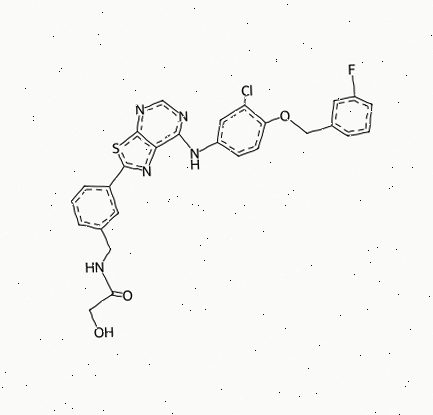 O=C(CO)NCc1cccc(-c2nc3c(Nc4ccc(OCc5cccc(F)c5)c(Cl)c4)ncnc3s2)c1